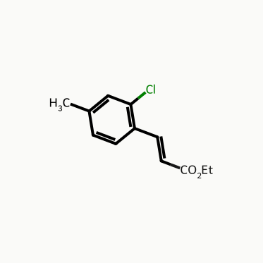 CCOC(=O)C=Cc1ccc(C)cc1Cl